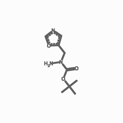 CC(C)(C)OC(=O)N(N)Cc1cnco1